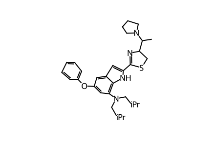 CC(C)CN(CC(C)C)c1cc(Oc2ccccc2)cc2cc(C3=NC(C(C)N4CCCC4)CS3)[nH]c12